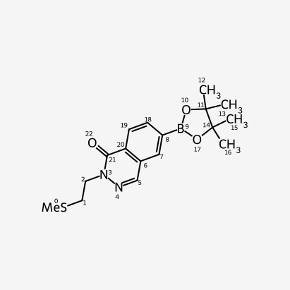 CSCCn1ncc2cc(B3OC(C)(C)C(C)(C)O3)ccc2c1=O